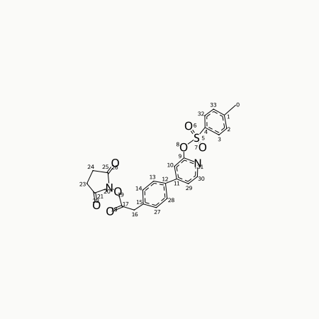 Cc1ccc(S(=O)(=O)Oc2cc(-c3ccc(CC(=O)ON4C(=O)CCC4=O)cc3)ccn2)cc1